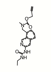 C#CCOC(=O)N(C)Cc1cccc2cc(NC(=O)NCC)ncc12